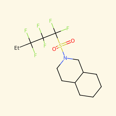 CCC(F)(F)C(F)(F)C(F)(F)S(=O)(=O)N1CCC2CCCCC2C1